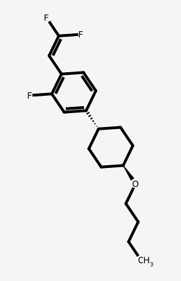 CCCCO[C@H]1CC[C@H](c2ccc(C=C(F)F)c(F)c2)CC1